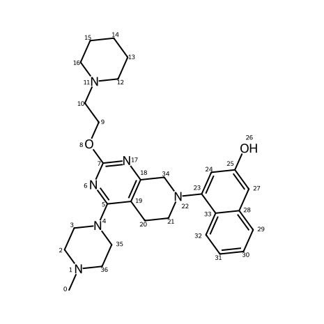 CN1CCN(c2nc(OCCN3CCCCC3)nc3c2CCN(c2cc(O)cc4ccccc24)C3)CC1